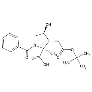 CC(C)(C)OC(=O)C[C@H]1[C@H](O)CN(C(=O)c2ccccc2)[C@]1(C)C(=O)O